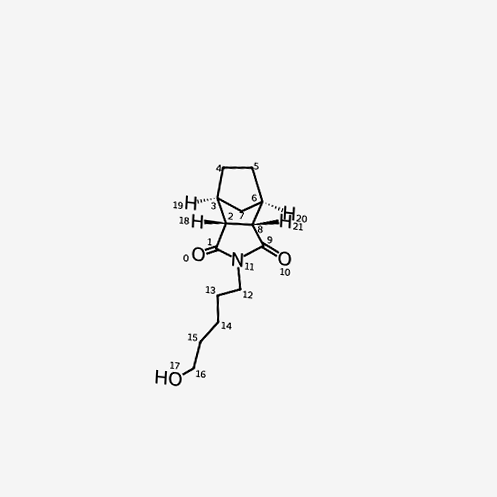 O=C1[C@@H]2[C@H]3CC[C@H](C3)[C@@H]2C(=O)N1CCCCCO